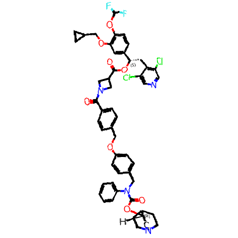 O=C(O[C@@H](Cc1c(Cl)cncc1Cl)c1ccc(OC(F)F)c(OCC2CC2)c1)C1CN(C(=O)c2ccc(COc3ccc(CN(C(=O)O[C@H]4CN5CCC4CC5)c4ccccc4)cc3)cc2)C1